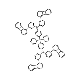 c1ccc(C(c2ccccc2)(c2ccc(N(c3cccc(-c4cccc5c4-c4ccccc4-5)c3)c3cccc(-c4cccc5c4-c4ccccc4-5)c3)cc2)c2ccc(N(c3cccc(-c4cccc5c4-c4ccccc4-5)c3)c3cccc(-c4cccc5c4-c4ccccc4-5)c3)cc2)cc1